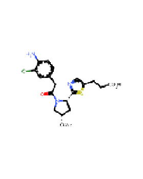 CO[C@H]1C[C@@H](c2ncc(CCC(=O)O)s2)N(C(=O)Cc2ccc(N)c(Cl)c2)C1